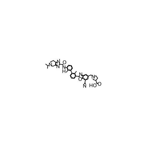 Cc1c(NC(=O)c2nc3c(n2C)CCN(C(C)C)C3)cccc1-c1cccc(-c2nc3cc(CN4CCC(C(=O)O)C4)cc(C#N)c3o2)c1C